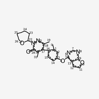 Cc1cc(Oc2ncnc3occc23)ccc1-c1c(C)nn(C2CCCCO2)c(=O)c1C